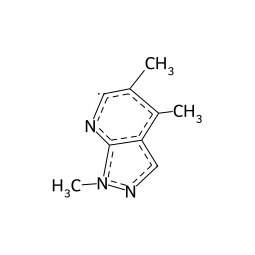 Cc1[c]nc2c(cnn2C)c1C